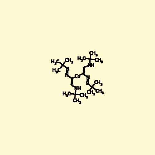 CC(C)(C)N=N[C](=CNC(C)(C)C)[Co][C](=CNC(C)(C)C)N=NC(C)(C)C